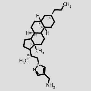 CCC[C@H]1CC[C@@H]2C3CC[C@@]4(C)C(CCC4[C@@H](C)Cn4cc(CN)cn4)[C@@H]3CC[C@@H]2C1